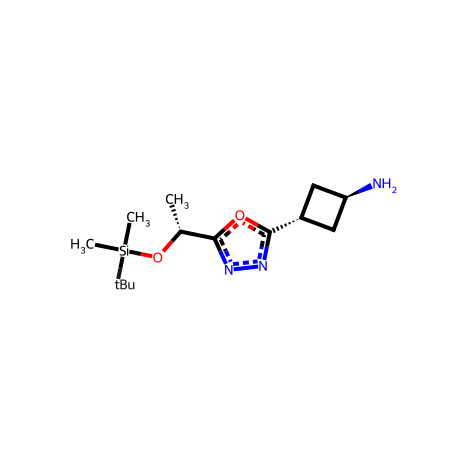 C[C@@H](O[Si](C)(C)C(C)(C)C)c1nnc([C@H]2C[C@H](N)C2)o1